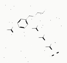 CC(=O)O.CC(=O)O.CC(=O)O.CC(=O)O.N=C=S.NCCNCc1ccccc1.[Cd]